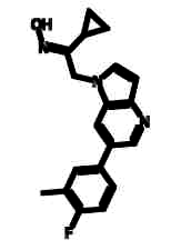 Cc1cc(-c2cnc3ccn(C/C(=N/O)C4CC4)c3c2)ccc1F